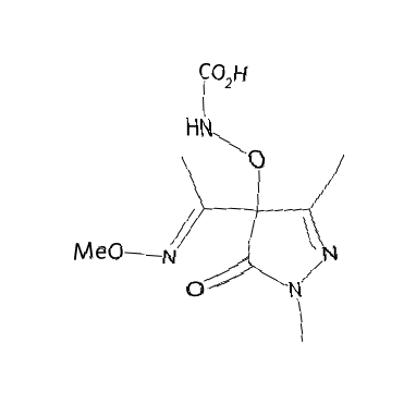 CON=C(C)C1(ONC(=O)O)C(=O)N(C)N=C1C